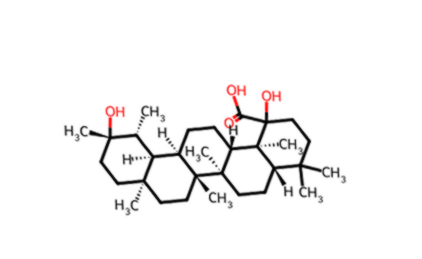 C[C@@H]1[C@H]2[C@H]3CC[C@@H]4[C@]5(C)[C@@H](CC[C@@]4(C)[C@]3(C)CC[C@@]2(C)CC[C@]1(C)O)C(C)(C)CCC5(O)C(=O)O